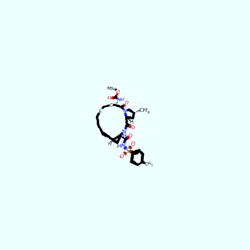 Cc1ccc(S(=O)(=O)NC(=O)[C@@]23C[C@H]2/C=C\CCCCC[C@H](NC(=O)OC(C)(C)C)C(=O)N2C[C@H](C)C[C@H]2C(=O)N3)cc1